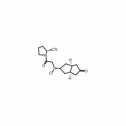 N#C[C@@H]1CCCN1C(=O)CN(Cl)C1C[C@H]2CC(=O)C[C@H]2C1